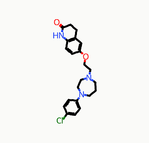 O=C1CCc2cc(OCCN3CCCN(c4ccc(Cl)cc4)CC3)ccc2N1